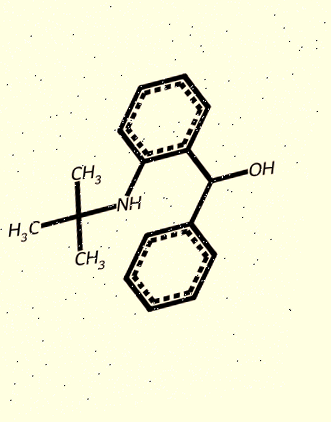 CC(C)(C)Nc1ccccc1C(O)c1ccccc1